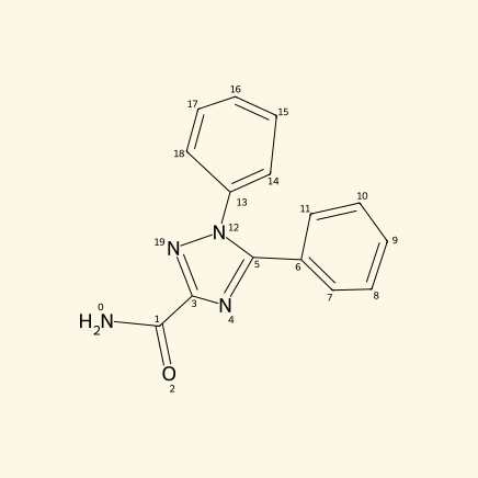 NC(=O)c1nc(-c2ccccc2)n(-c2ccccc2)n1